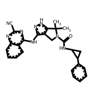 CC1(C)c2[nH]nc(Nc3nc(C#N)nc4ccccc34)c2CN1C(=O)NC1CC1c1ccccc1